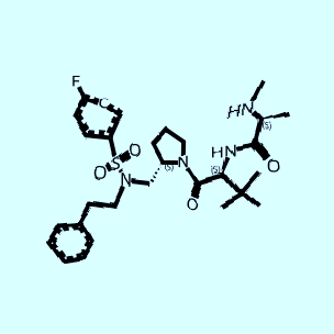 CN[C@@H](C)C(=O)N[C@H](C(=O)N1CCC[C@H]1CN(CCc1ccccc1)S(=O)(=O)c1ccc(F)cc1)C(C)(C)C